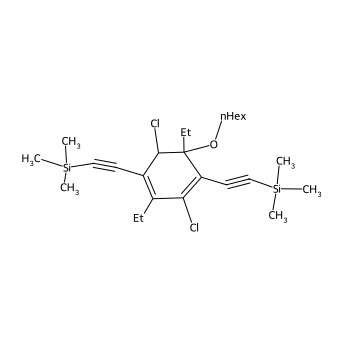 CCCCCCOC1(CC)C(C#C[Si](C)(C)C)=C(Cl)C(CC)=C(C#C[Si](C)(C)C)C1Cl